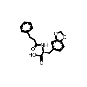 O=C(CCc1ccccc1)N[C@@H](Cc1ccc2c(c1)OCO2)C(=O)O